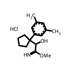 COC(=N)C(O)C1(c2cc(C)cc(C)c2)CCCC1.Cl